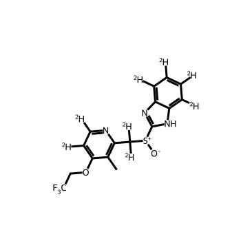 [2H]c1nc(C([2H])([2H])[S+]([O-])c2nc3c([2H])c([2H])c([2H])c([2H])c3[nH]2)c(C)c(OCC(F)(F)F)c1[2H]